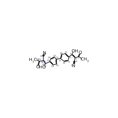 CC(=O)/C(C#N)=C(\O)c1ccc(-c2ccc(/C(O)=C(\C#N)C(C)=O)cc2)cc1